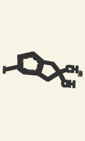 CC1(O)Cc2ccc(I)cc2C1